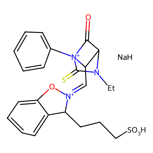 CCN1C(=S)[N+]2(c3ccccc3)C(=O)C1C2C=[N+]1Oc2ccccc2C1CCCS(=O)(=O)O.[NaH]